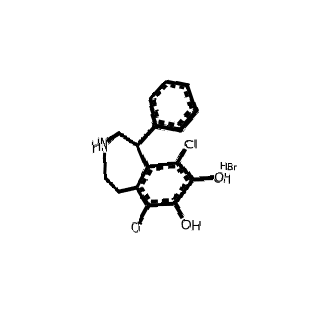 Br.Oc1c(O)c(Cl)c2c(c1Cl)CCNCC2c1ccccc1